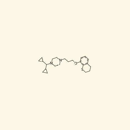 c1cc2c(c(OCCCN3CCN(C(C4CC4)C4CC4)CC3)c1)SCCC2